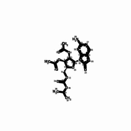 CC(=O)O[C@@H]1[C@H](OC(C)=O)[C@@H](COC(=O)OC(C)C)O[C@H]1n1c(=O)sc2cnc(N)nc21